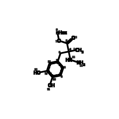 CCCCCCOC(=O)C(C)(Cc1ccc(O)c(O)c1)NN